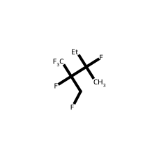 CCC(C)(F)C(F)(CF)C(F)(F)F